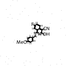 COc1ccc(CSc2nc(O)c(C#N)c3ccc(F)cc23)cc1